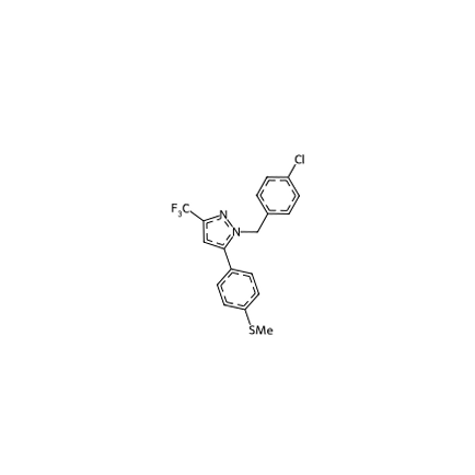 CSc1ccc(-c2cc(C(F)(F)F)nn2Cc2ccc(Cl)cc2)cc1